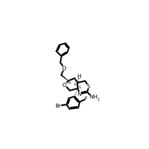 NC1=N[C@@]2(c3cc(Br)ccc3F)CO[C@@H](COCc3ccccc3)C[C@H]2CS1